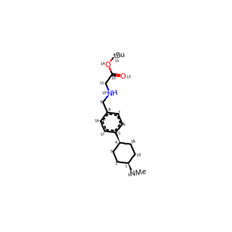 CN[C@H]1CC[C@@H](c2ccc(CNCC(=O)OC(C)(C)C)cc2)CC1